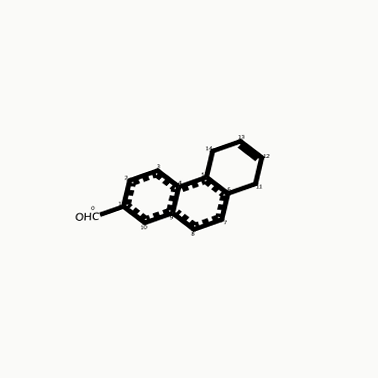 O=Cc1ccc2c3c(ccc2c1)CC=CC3